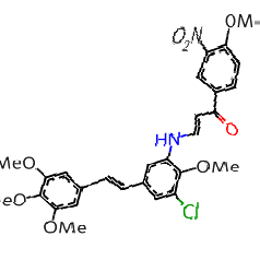 COc1ccc(C(=O)C=CNc2cc(C=Cc3cc(OC)c(OC)c(OC)c3)cc(Cl)c2OC)cc1[N+](=O)[O-]